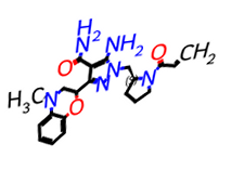 C=CC(=O)N1CCC[C@H]1Cn1nc(C2CN(C)c3ccccc3O2)c(C(N)=O)c1N